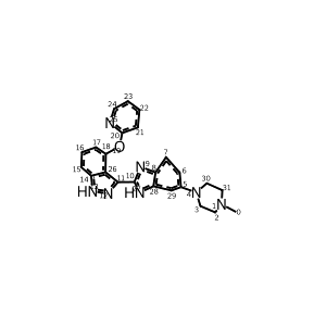 CN1CCN(c2ccc3nc(-c4n[nH]c5cccc(Oc6ccccn6)c45)[nH]c3c2)CC1